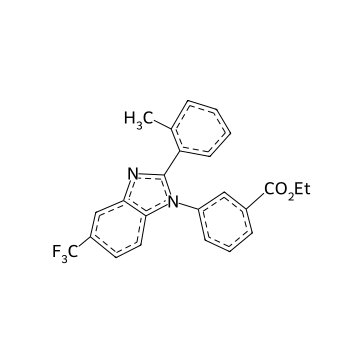 CCOC(=O)c1cccc(-n2c(-c3ccccc3C)nc3cc(C(F)(F)F)ccc32)c1